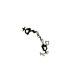 CC(C)(C)c1ccc(CC=NOCCOc2ccc(C(=O)O)cc2Cl)cc1